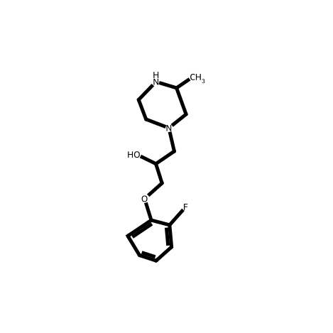 CC1CN(CC(O)COc2ccccc2F)CCN1